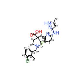 Cc1cc(Nc2ccc(F)c(CC3(C(=O)O)CCN(Cc4cccc(Cl)c4C)CC3)n2)n[nH]1